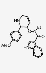 CCN(OC1C=CCNC1c1ccc(OC)cc1)C(=O)c1c[nH]c2ccccc12